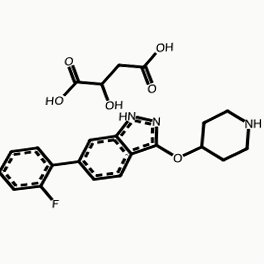 Fc1ccccc1-c1ccc2c(OC3CCNCC3)n[nH]c2c1.O=C(O)CC(O)C(=O)O